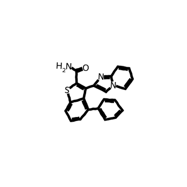 NC(=O)c1sc2cccc(-c3ccccc3)c2c1-c1cn2ccccc2n1